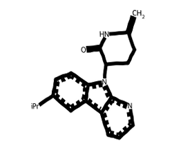 C=C1CCC(n2c3ccc(C(C)C)cc3c3cccnc32)C(=O)N1